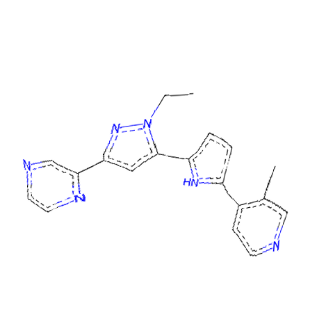 CCn1nc(-c2cnccn2)cc1-c1ccc(-c2ccncc2C)[nH]1